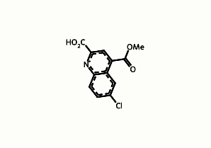 COC(=O)c1cc(C(=O)O)nc2ccc(Cl)cc12